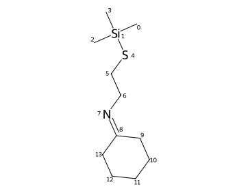 C[Si](C)(C)SCCN=C1CCCCC1